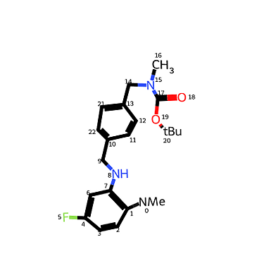 CNc1ccc(F)cc1NCc1ccc(CN(C)C(=O)OC(C)(C)C)cc1